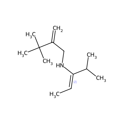 C=C(CN/C(=C\C)C(C)C)C(C)(C)C